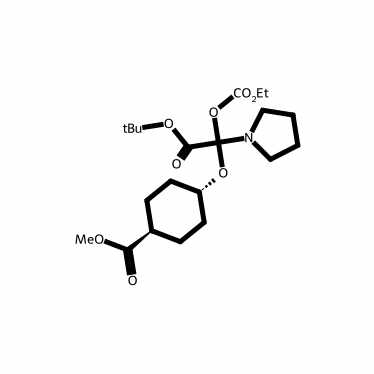 CCOC(=O)OC(O[C@H]1CC[C@H](C(=O)OC)CC1)(C(=O)OC(C)(C)C)N1CCCC1